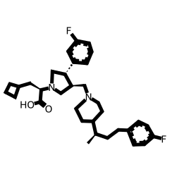 C[C@H](CCc1ccc(F)cc1)C1CCN(C[C@H]2CN([C@H](CC3CCC3)C(=O)O)C[C@@H]2c2cccc(F)c2)CC1